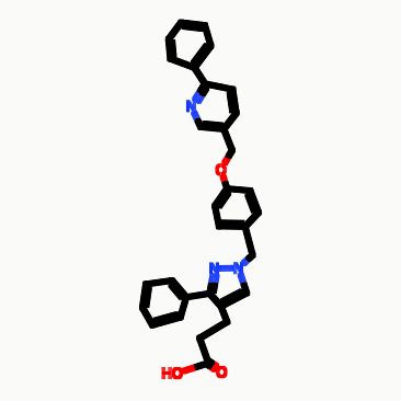 O=C(O)CCc1cn(Cc2ccc(OCc3ccc(-c4ccccc4)nc3)cc2)nc1-c1ccccc1